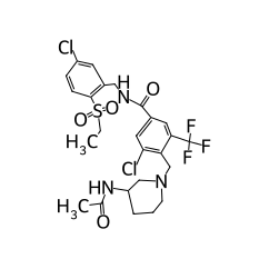 CCS(=O)(=O)c1ccc(Cl)cc1CNC(=O)c1cc(Cl)c(CN2CCCC(NC(C)=O)C2)c(C(F)(F)F)c1